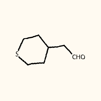 O=CCC1CCSCC1